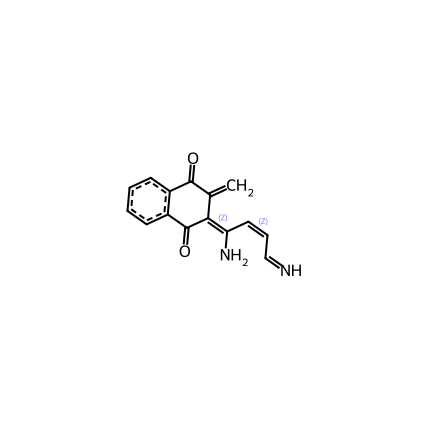 C=C1C(=O)c2ccccc2C(=O)/C1=C(N)/C=C\C=N